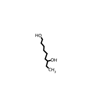 CCC(O)CCCCCCO